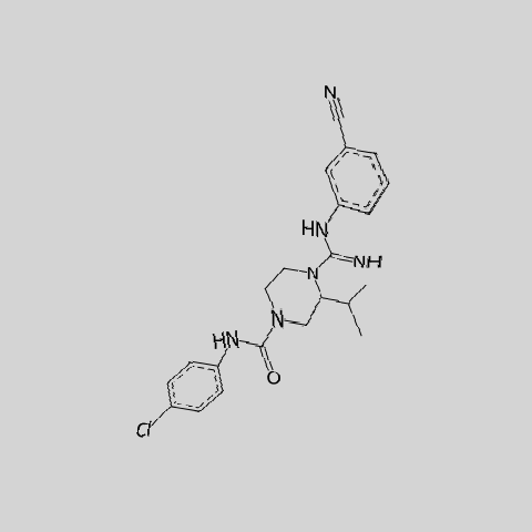 CC(C)C1CN(C(=O)Nc2ccc(Cl)cc2)CCN1C(=N)Nc1cccc(C#N)c1